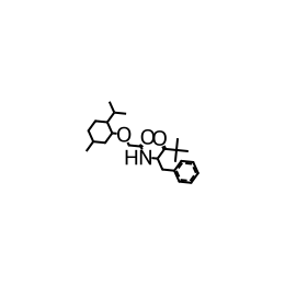 CC1CCC(C(C)C)C(OCC(=O)NC(Cc2ccccc2)C(=O)C(C)(C)C)C1